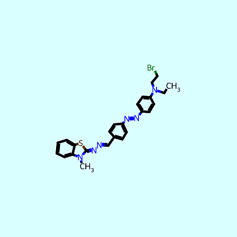 CCN(CCBr)c1ccc(/N=N/c2ccc(/C=N/N=c3\sc4ccccc4n3C)cc2)cc1